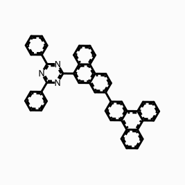 c1ccc(-c2nc(-c3ccccc3)nc(-c3cc4cc(-c5ccc6c7ccccc7c7ccccc7c6c5)ccc4c4ccccc34)n2)cc1